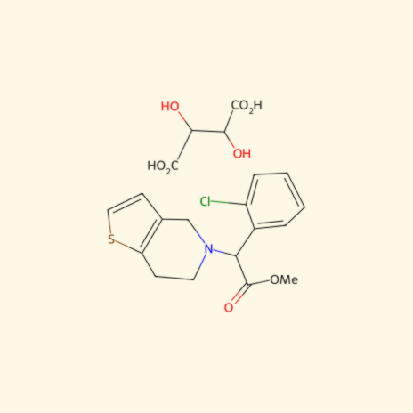 COC(=O)C(c1ccccc1Cl)N1CCc2sccc2C1.O=C(O)C(O)C(O)C(=O)O